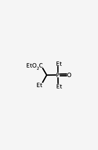 CCOC(=O)C(CC)P(=O)(CC)CC